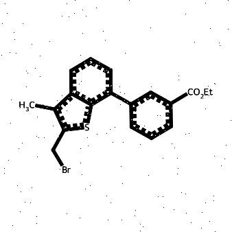 CCOC(=O)c1cccc(-c2cccc3c(C)c(CBr)sc23)c1